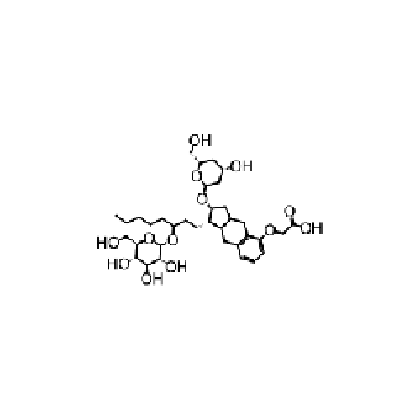 CCCCCC(CC[C@H]1C2Cc3cccc(OCC(=O)O)c3CC2C[C@@H]1OC1C[C@@H](O)C[C@@H](CO)O1)OC1O[C@H](CO)[C@@H](O)[C@H](O)[C@H]1O